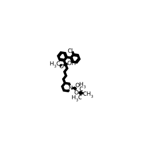 COC(O)(CCCCC1CCCN(C(=O)OC(C)(C)C)C1)c1ccccc1-c1ccccc1Cl